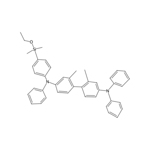 CCO[Si](C)(C)c1ccc(N(c2ccccc2)c2ccc(-c3ccc(N(c4ccccc4)c4ccccc4)cc3C)c(C)c2)cc1